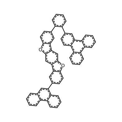 c1ccc(-c2ccc3c4ccccc4c4ccccc4c3c2)c(-c2ccc3oc4cc5c(cc4c3c2)oc2ccc(-c3cc4ccccc4c4ccccc34)cc25)c1